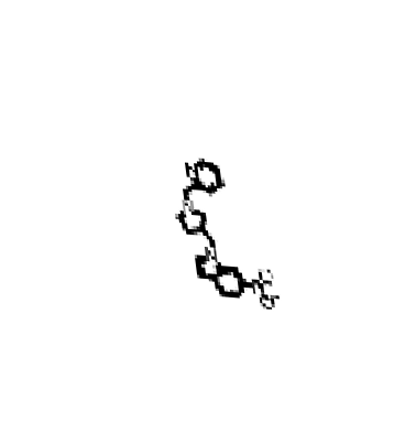 O=[N+]([O-])c1ccc2ccn(CC3CCN(Cc4ccccn4)C3)c2c1